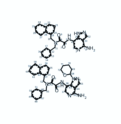 Nc1ncc(NC(=O)C(=O)N(Cc2ccccc2)Cc2cccc3ccccc23)c2[nH]ncc12.Nc1ncc(NC(=O)C(=O)N(Cc2ccccc2)Cc2cccc3ccccc23)c2c1cnn2C1CCCCO1